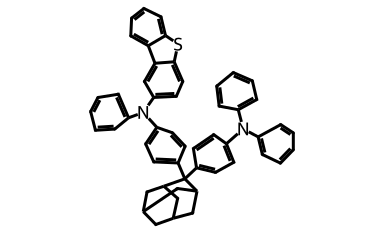 c1ccc(N(c2ccccc2)c2ccc(C3(c4ccc(N(c5ccccc5)c5ccc6sc7ccccc7c6c5)cc4)C4CC5CC(C4)CC3C5)cc2)cc1